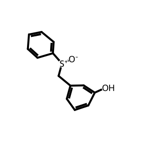 [O-][S+](Cc1cccc(O)c1)c1ccccc1